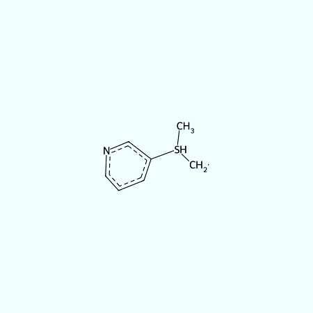 [CH2][SH](C)c1cccnc1